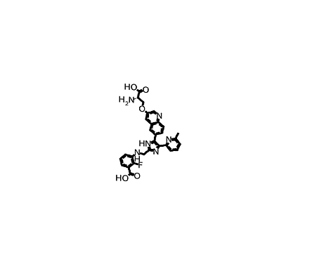 Cc1cccc(-c2nc(CNc3cccc(C(=O)O)c3F)[nH]c2-c2ccc3ncc(OC[C@H](N)C(=O)O)cc3c2)n1